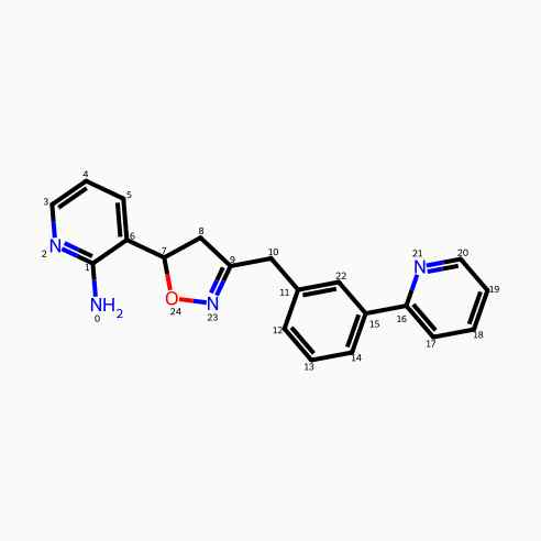 Nc1ncccc1C1CC(Cc2cccc(-c3ccccn3)c2)=NO1